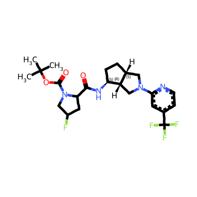 CC(C)(C)OC(=O)N1CC(F)CC1C(=O)N[C@H]1CC[C@@H]2CN(c3cc(C(F)(F)F)ccn3)C[C@@H]21